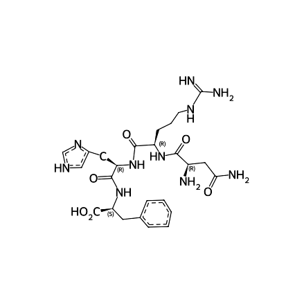 N=C(N)NCCC[C@@H](NC(=O)[C@H](N)CC(N)=O)C(=O)N[C@H](Cc1c[nH]cn1)C(=O)N[C@@H](Cc1ccccc1)C(=O)O